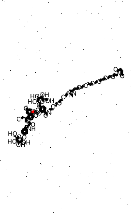 COc1ccc2c(OS(=O)(=O)Oc3cc(C(=O)N(C)CCOCCOCCOCCn4cc(CCOCCOCCOCCOCCOCCOCCN5C(=O)C=CC5=O)nn4)ccc3O[C@@H]3O[C@H](CO)[C@H](O)[C@H](O)C3O)cc3c(c2c1)[C@H](CCl)CN3C(=O)c1cc2ccc(OC3O[C@H](CO)[C@H](O)[C@H](O)[C@H]3O)cc2[nH]1